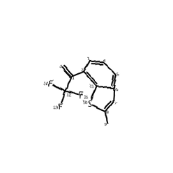 C=C(c1cccc2cc(C)sc12)C(F)(F)F